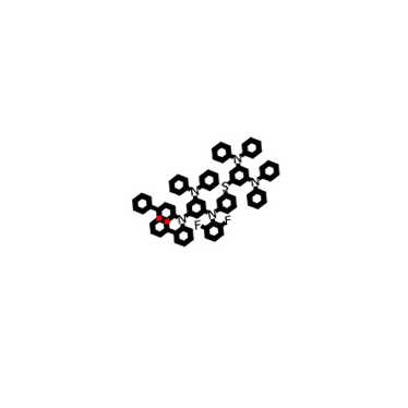 Fc1cccc(F)c1N(c1cccc(Sc2cc(N(c3ccccc3)c3ccccc3)cc(N(c3ccccc3)c3ccccc3)c2)c1)c1cc(N(c2ccccc2)c2ccccc2)cc(N(c2ccc(-c3ccccc3)cc2)c2ccccc2-c2ccccc2)c1